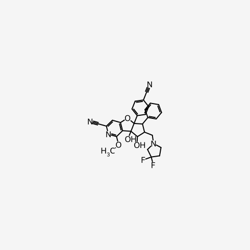 COc1nc(C#N)cc2c1C1(O)C(O)C(CN3CCC(F)(F)C3)C(c3ccccc3)C1(c1ccc(C#N)cc1)O2